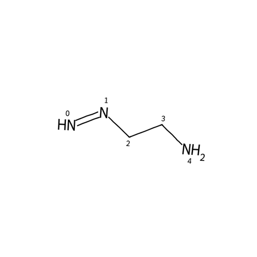 N=NCCN